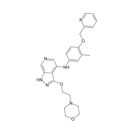 Cc1cc(Nc2cncc3[nH]nc(OCCN4CCOCC4)c23)ccc1OCc1ccccn1